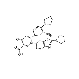 N#Cc1cc(-c2cc(=O)c(C(=O)O)cn2-c2ccc3nc(N4CCCC4)oc3c2)ccc1N1CCCC1